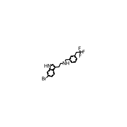 FC(F)(F)Cc1cccc(CNCCc2c[nH]c3cc(Br)ccc23)c1